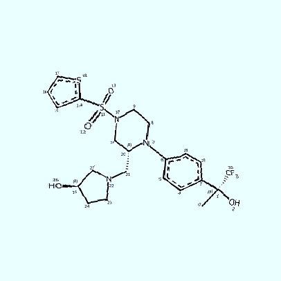 C[C@](O)(c1ccc(N2CCN(S(=O)(=O)c3cccs3)C[C@H]2CN2CC[C@@H](O)C2)cc1)C(F)(F)F